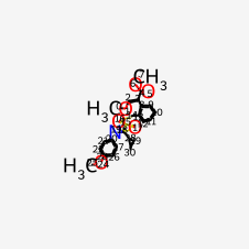 CO/C=C(/C(=O)OC)c1ccccc1CS(=O)(=O)C(=Nc1ccc(OC)cc1)C1CC1